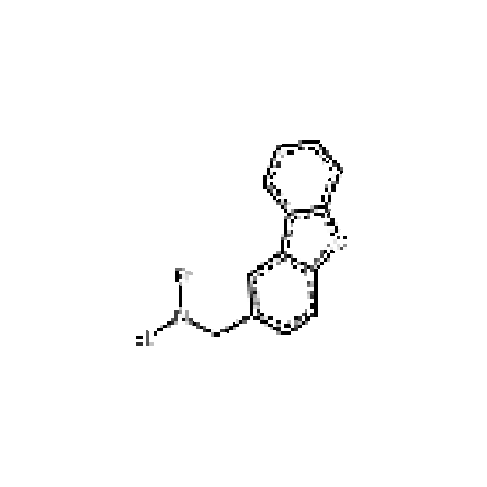 CCN(CC)Cc1ccc2oc3ccccc3c2c1